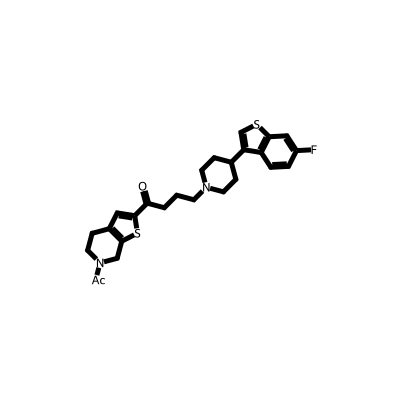 CC(=O)N1CCc2cc(C(=O)CCCN3CCC(c4csc5cc(F)ccc45)CC3)sc2C1